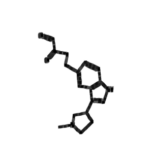 CN1CCC(c2c[nH]c3ccc(CCC(=O)C=O)cc23)C1